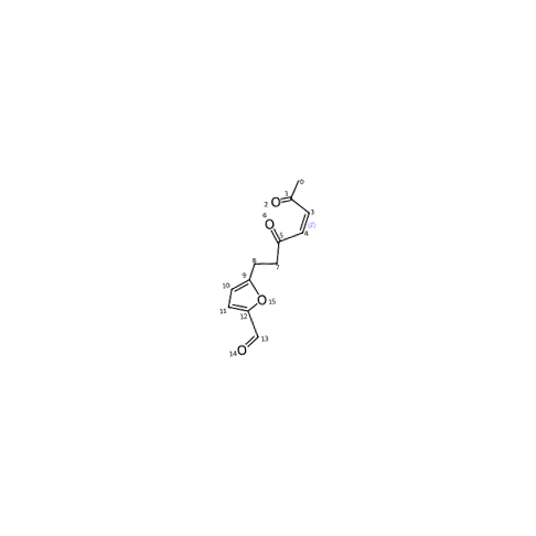 CC(=O)/C=C\C(=O)CCc1ccc(C=O)o1